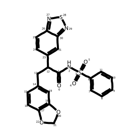 O=C(NS(=O)(=O)c1ccccc1)C(Cc1ccc2c(c1)OCO2)c1ccc2nsnc2c1